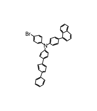 Brc1ccc(N(c2ccc(-c3ccc(-c4ccccc4)cc3)cc2)c2ccc(-c3cccc4ccccc34)cc2)cc1